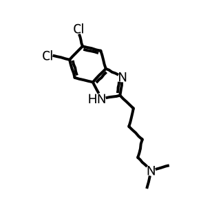 CN(C)CCCCc1nc2cc(Cl)c(Cl)cc2[nH]1